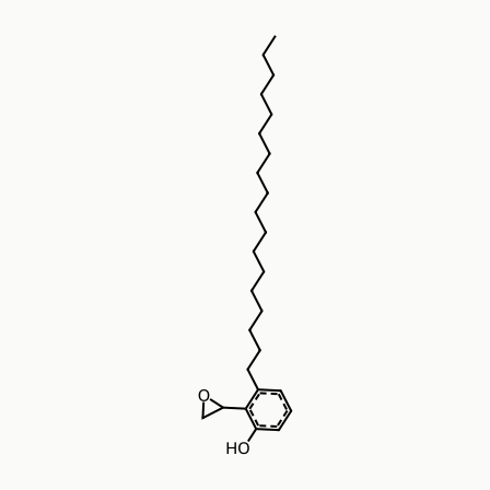 CCCCCCCCCCCCCCCCCCc1cccc(O)c1C1CO1